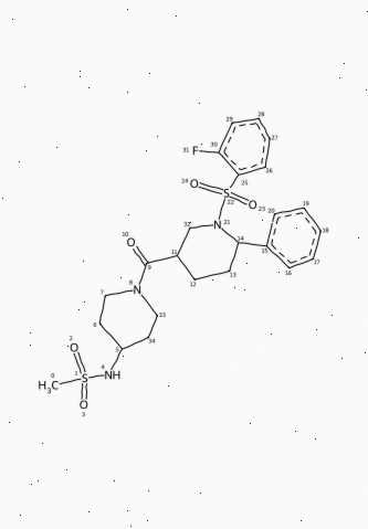 CS(=O)(=O)NC1CCN(C(=O)C2CCC(c3ccccc3)N(S(=O)(=O)c3ccccc3F)C2)CC1